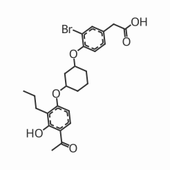 CCCc1c(OC2CCCC(Oc3ccc(CC(=O)O)cc3Br)C2)ccc(C(C)=O)c1O